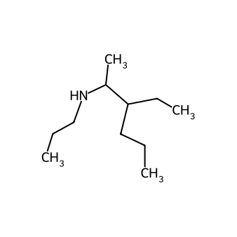 CCCNC(C)C(CC)CCC